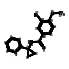 O=C(NC1(c2ccccn2)CC1)c1ccc(OC(F)(F)F)c(Br)c1